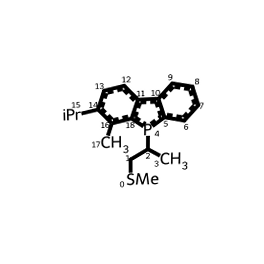 CSCC(C)p1c2ccccc2c2ccc(C(C)C)c(C)c21